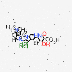 CCc1c(-c2ccc3c(c2)cc(CN2C[C@H]4CC[C@@H](N(C)C)[C@H]4C2)n3C)[nH]c(=O)c(C(=O)O)c1O.Cl.Cl